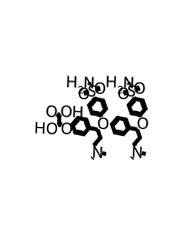 CN(C)CCC(Oc1ccc(S(N)(=O)=O)cc1)c1ccccc1.CN(C)CCC(Oc1ccc(S(N)(=O)=O)cc1)c1ccccc1.O=C(O)C(=O)O